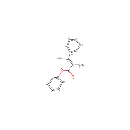 CC(C(=O)Oc1ccccc1)=C(F)c1ccccc1